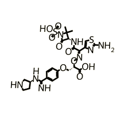 CC1(C)[C@H](NC(=O)C(=NO[C@@H](COc2ccc(C(=N)N[C@H]3CCNC3)cc2)C(=O)O)c2csc(N)n2)C(=O)N1S(=O)(=O)O